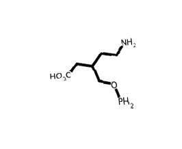 NCCC(COP)CC(=O)O